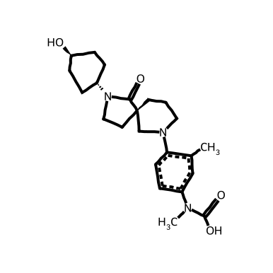 Cc1cc(N(C)C(=O)O)ccc1N1CCC[C@]2(CCN([C@H]3CC[C@H](O)CC3)C2=O)C1